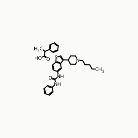 CC(C(=O)O)c1ccccc1.CCCCCN1CCC(c2csc3ccc(NC(=O)Nc4ccccc4)cc23)CC1